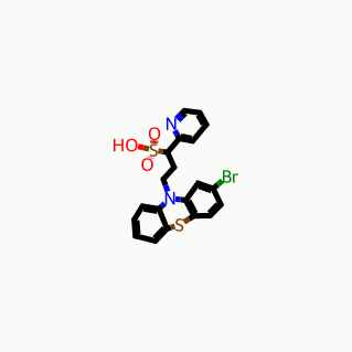 O=S(=O)(O)C(CCN1c2ccccc2Sc2ccc(Br)cc21)c1ccccn1